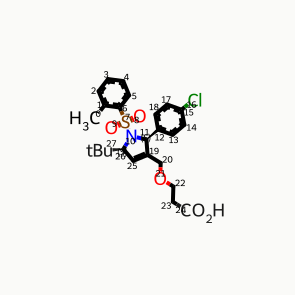 Cc1ccccc1S(=O)(=O)N1[C@@H](c2ccc(Cl)cc2)C(COCCC(=O)O)=C[C@H]1C(C)(C)C